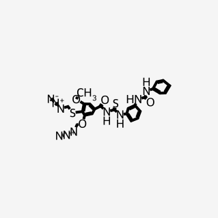 COc1cc(C(=O)NC(=S)Nc2cccc(NC(=O)Nc3ccccc3)c2)cc(OCN=[N+]=[N-])c1SCN=[N+]=[N-]